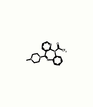 CN1CCN(C2=Nc3ccccc3N(C(=O)C(F)(F)F)c3ncccc32)CC1